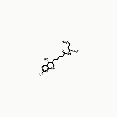 Nc1ncc2c(n1)NC[C@H](CCCCC(=O)N[C@@H](CCC(=O)O)C(=O)O)[C@H]2O